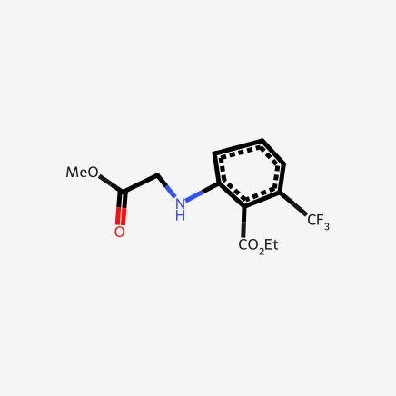 CCOC(=O)c1c(NCC(=O)OC)cccc1C(F)(F)F